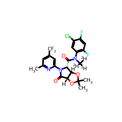 [2H]C([2H])([2H])N(C(=O)[C@@H]1[C@@H]2OC(C)(C)O[C@@H]2C(=O)N1c1cc(C(F)(F)F)cc(C)n1)c1cc(Cl)c(F)cc1F